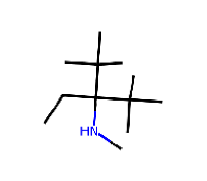 CCC(NC)(C(C)(C)C)C(C)(C)C